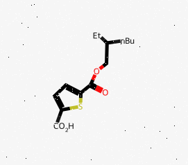 CCCCC(CC)COC(=O)c1ccc(C(=O)O)s1